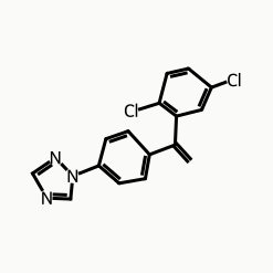 C=C(c1ccc(-n2cncn2)cc1)c1cc(Cl)ccc1Cl